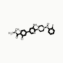 CN(C)C(=O)c1ccc(-c2cnc(N3CCN([S+]([O-])c4ccccc4F)CC3)c(N)c2)cc1Cl